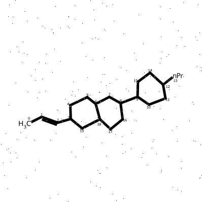 CC=CC1CCC2CC(C3CCC(CCC)CC3)CCC2C1